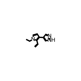 C=Cc1c(-c2cn[nH]c2)ccn1CC